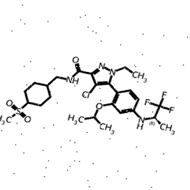 CCn1nc(C(=O)NCC2CCC(S(C)(=O)=O)CC2)c(Cl)c1-c1ccc(N[C@H](C)C(F)(F)F)cc1OC(C)C